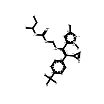 CCC(C)OC(=O)OCO/C(=C(\c1ccc(C(C)(C)C)cc1)C1C=N1)c1cc(C)nn1C